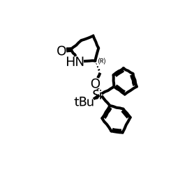 CC(C)(C)[Si](OC[C@H]1CCCC(=O)N1)(c1ccccc1)c1ccccc1